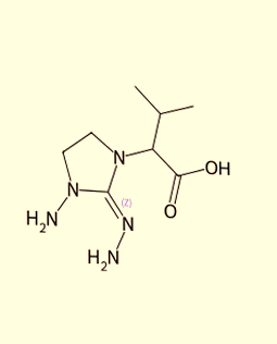 CC(C)C(C(=O)O)N1CCN(N)/C1=N\N